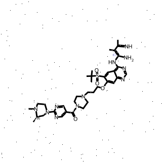 CC(=N)/C(C)=C(\N)Nc1ncnc2cc(OCCCN3CCN(C(=O)c4cnc(N5CCN(C)[C@H](C)C5)nc4)CC3)c(S(=O)(=O)C(C)(C)C)cc12